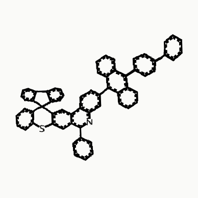 c1ccc(-c2ccc(-c3c4ccccc4c(-c4ccc5c(c4)nc(-c4ccccc4)c4cc6c(cc45)C4(c5ccccc5S6)c5ccccc5-c5ccccc54)c4ccccc34)cc2)cc1